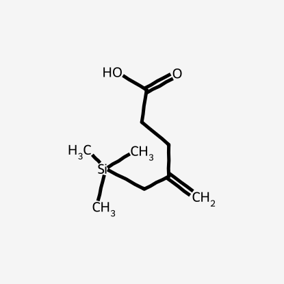 C=C(CCC(=O)O)C[Si](C)(C)C